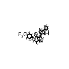 CC1CN(c2ccc(C(F)(F)F)cc2)C(=O)c2c(-c3cnc(C4CCC4)[nH]3)cnn21